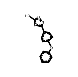 Oc1nc(-c2ccc(Oc3ccccc3)cc2)no1